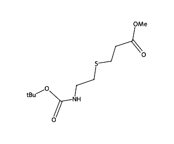 COC(=O)CCSCCNC(=O)OC(C)(C)C